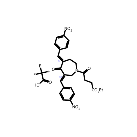 CCOC(=O)CCC(=O)N1CC/C(=C\c2ccc([N+](=O)[O-])cc2)C(=O)/C(=C/c2ccc([N+](=O)[O-])cc2)C1.O=C(O)C(F)(F)F